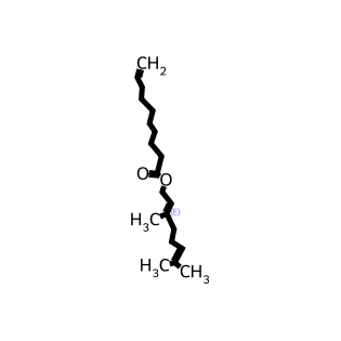 C=CCCCCCCCC(=O)OC/C=C(\C)CCC=C(C)C